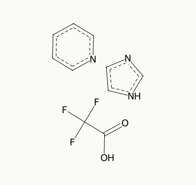 O=C(O)C(F)(F)F.c1c[nH]cn1.c1ccncc1